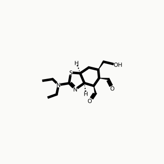 CCN(CC)C1=N[C@@H]2[C@H](C=O)[C@H](C=O)[C@H](CO)C[C@@H]2S1